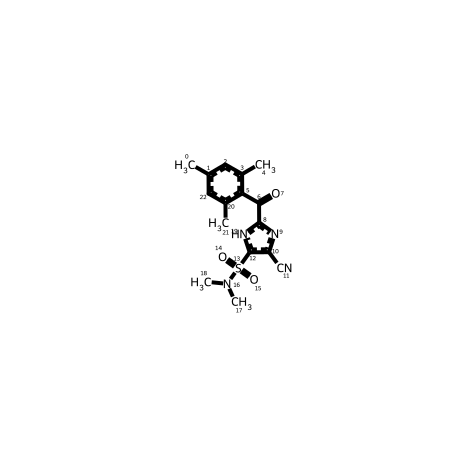 Cc1cc(C)c(C(=O)c2nc(C#N)c(S(=O)(=O)N(C)C)[nH]2)c(C)c1